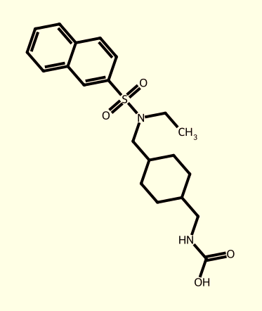 CCN(CC1CCC(CNC(=O)O)CC1)S(=O)(=O)c1ccc2ccccc2c1